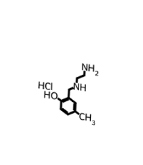 Cc1ccc(O)c(CNCCN)c1.Cl